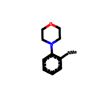 CNc1ccccc1N1CCOCC1